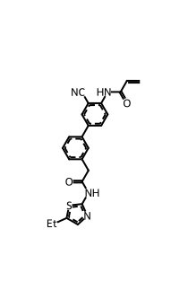 C=CC(=O)Nc1ccc(-c2cccc(CC(=O)Nc3ncc(CC)s3)c2)cc1C#N